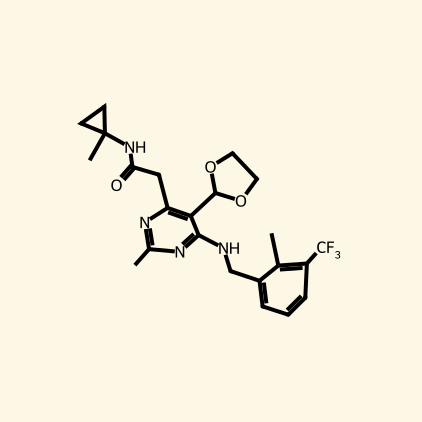 Cc1nc(CC(=O)NC2(C)CC2)c(C2OCCO2)c(NCc2cccc(C(F)(F)F)c2C)n1